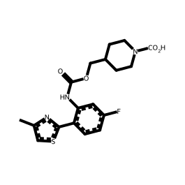 Cc1csc(-c2ccc(F)cc2NC(=O)OCC2CCN(C(=O)O)CC2)n1